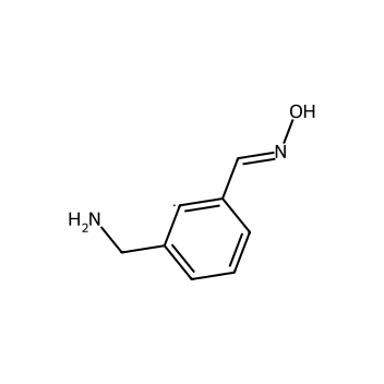 NCc1[c]c(C=NO)ccc1